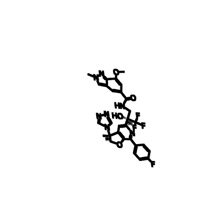 COc1cc(C(=O)NC[C@](O)(c2cc3c(c(-c4ccc(F)cc4)n2)OC[C@]3(C)n2cnnc2)C(F)(F)F)cc2cn(C)nc12